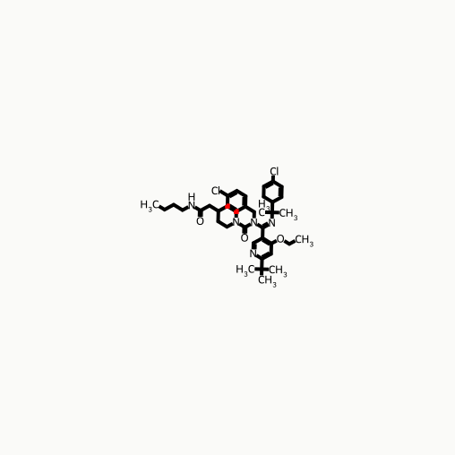 CCCCNC(=O)CC1CCN(C(=O)N(Cc2ccc(Cl)cc2)/C(=N\C(C)(C)C2C=CC(Cl)=CC2)c2cnc(C(C)(C)C)cc2OCC)CC1